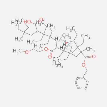 CCC(CC)C(CC)(CC)C(C)(CC(CC)(CC)C(CC)(CC)C(CC(CC)(CC)C(CC)(CC)C(CC(C)(CC)CC)C(=O)O)C(=O)OCCOC)C(=O)OCc1ccccc1